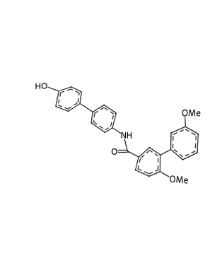 COc1cccc(-c2cc(C(=O)Nc3ccc(-c4ccc(O)cc4)cc3)ccc2OC)c1